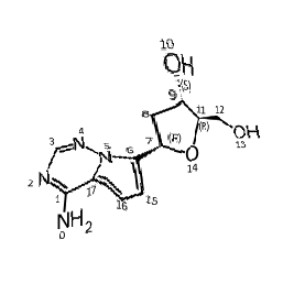 Nc1ncnn2c([C@H]3C[C@H](O)[C@@H](CO)O3)ccc12